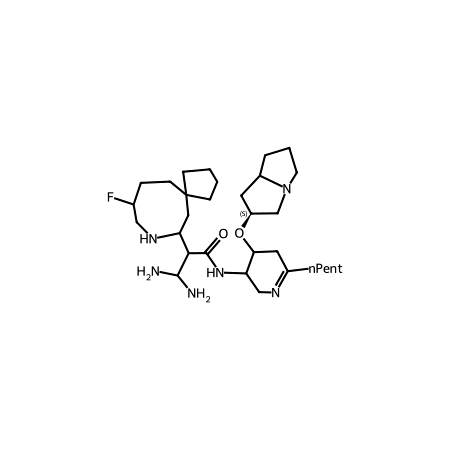 CCCCCC1=NCC(NC(=O)C(C(N)N)C2CC3(CCCC3)CCC(F)CN2)C(O[C@H]2CC3CCCN3C2)C1